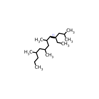 CCCC(C)CC(C)CC(C)/C=C(\CC)CC(C)C